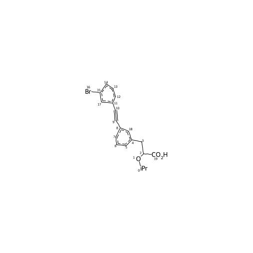 CC(C)OC(Cc1cccc(C#Cc2cccc(Br)c2)c1)C(=O)O